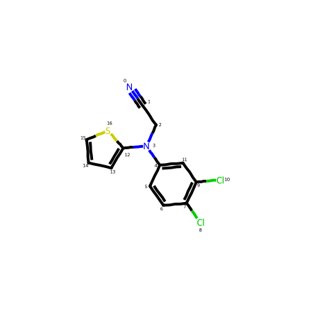 N#CCN(c1ccc(Cl)c(Cl)c1)c1cccs1